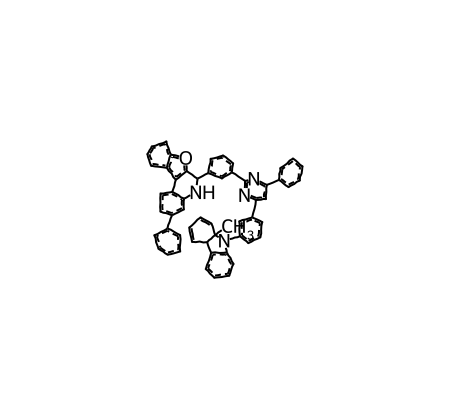 CC12C=CC=CC1c1ccccc1N2c1cccc(-c2cc(-c3ccccc3)nc(-c3cccc(C4Nc5cc(-c6ccccc6)ccc5-c5c4oc4ccccc54)c3)n2)c1